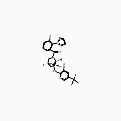 O=C(c1cccc(F)c1-n1nccn1)N1C[C@@H]2CC[C@H]1[C@H](Nc1ncc(C(F)(F)F)cc1F)C2